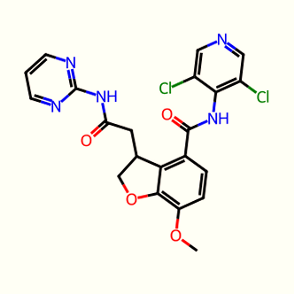 COc1ccc(C(=O)Nc2c(Cl)cncc2Cl)c2c1OCC2CC(=O)Nc1ncccn1